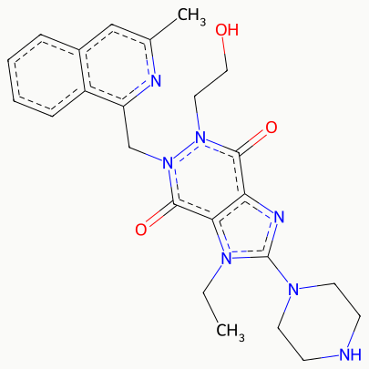 CCn1c(N2CCNCC2)nc2c(=O)n(CCO)n(Cc3nc(C)cc4ccccc34)c(=O)c21